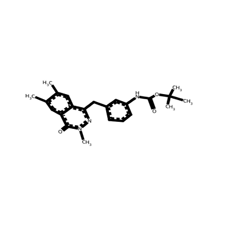 Cc1cc2c(Cc3cccc(NC(=O)OC(C)(C)C)c3)nn(C)c(=O)c2cc1C